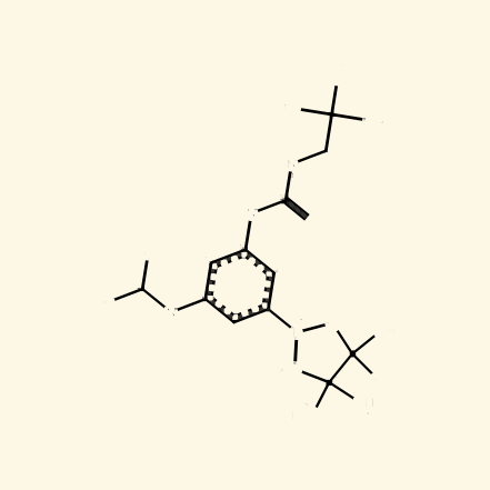 CC(C)Nc1cc(NC(=O)NCC(F)(F)F)cc(B2OC(C)(C)C(C)(C)O2)c1